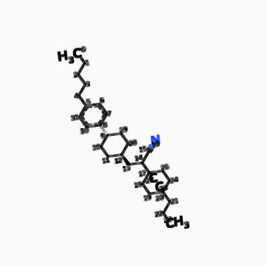 CCCCCc1ccc([C@H]2CC[C@H](CC(C#N)C34CCC(CCC)(CC3)CC4)CC2)cc1